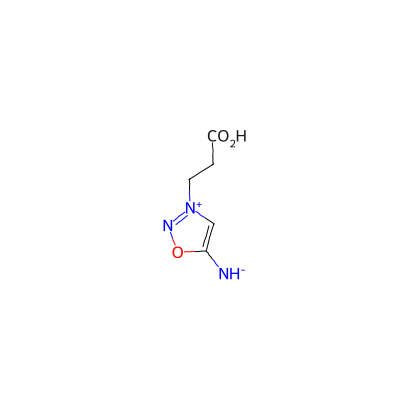 [NH-]c1c[n+](CCC(=O)O)no1